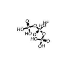 F.O=P(O)(O)OP(=O)(O)OP(=O)(O)O